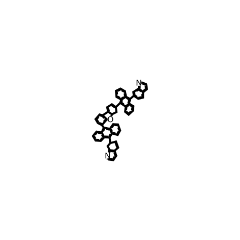 C1=CC(c2c3ccccc3c(-c3cccc4c3OC3CC(c5c6ccccc6c(-c6ccc7cccnc7c6)c6ccccc56)=CC=C43)c3ccccc23)Cc2ncccc21